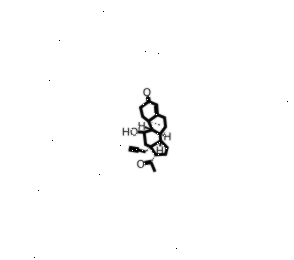 C#CC[C@]12CC(O)[C@H]3[C@@H](CCC4=CC(=O)CC[C@@]43C)[C@@H]1CC[C@@H]2C(C)=O